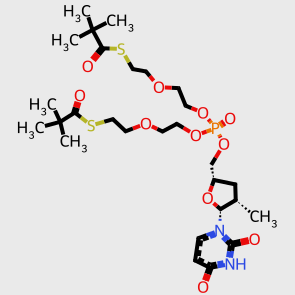 C[C@H]1C[C@@H](COP(=O)(OCCOCCSC(=O)C(C)(C)C)OCCOCCSC(=O)C(C)(C)C)O[C@H]1n1ccc(=O)[nH]c1=O